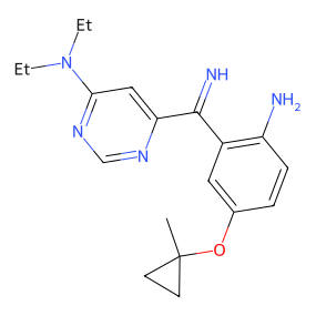 CCN(CC)c1cc(C(=N)c2cc(OC3(C)CC3)ccc2N)ncn1